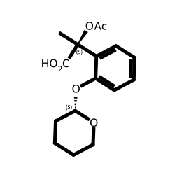 CC(=O)O[C@](C)(C(=O)O)c1ccccc1O[C@H]1CCCCO1